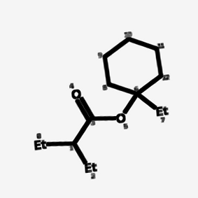 CCC(CC)C(=O)OC1(CC)CCCCC1